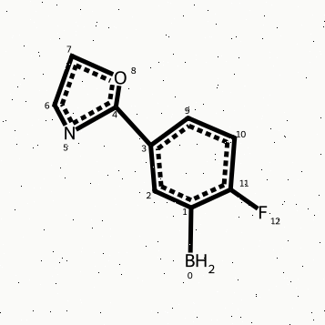 Bc1cc(-c2ncco2)ccc1F